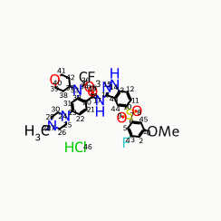 COc1cc(F)cc(S(=O)(=O)c2ccc3[nH]nc(NC(=O)c4ccc(N5CCN(C)CC5)cc4N(C(=O)C(F)(F)F)C4CCOCC4)c3c2)c1.Cl